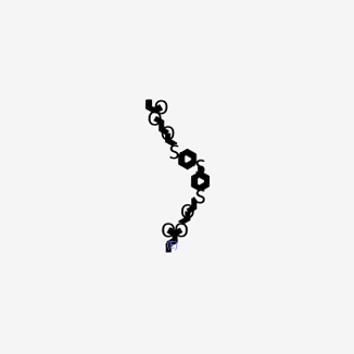 C=CC(=O)OCCOCCSc1ccc(Sc2ccc(SCCOCCOC(=O)/C=C/C)cc2)cc1